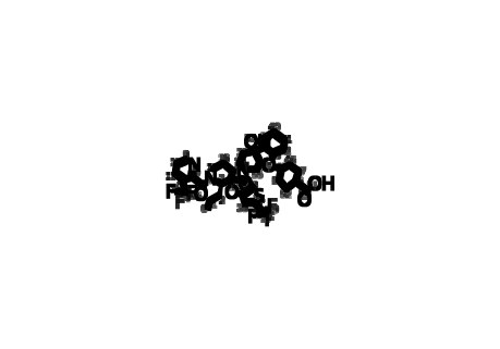 CCC[C@H]1N(C(=O)c2ncccc2C(F)(F)F)CCC[C@@]1(Oc1csc(C(F)(F)F)c1)C(=O)N1CCC(O)(c2ccccc2OC2CCC(C(=O)O)CC2)CC1